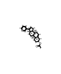 CC(=O)O[C@H]1CC[C@@]2(C)C(=CC[C@@H]3[C@@H]2CC[C@]2(C)C(c4cccnc4)=CC[C@@]32C)C1